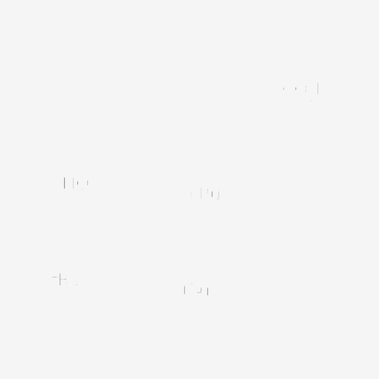 CCCCOc1c(-c2cc(C=CC(C)=CC(=O)O)ccc2O)cc(C(C)(C)C)cc1C(C)(C)C